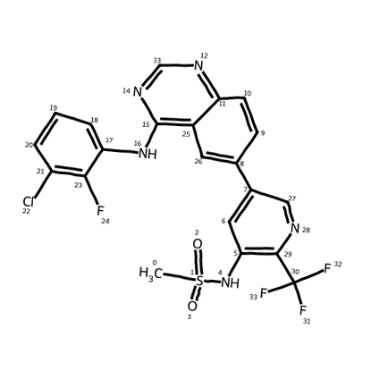 CS(=O)(=O)Nc1cc(-c2ccc3ncnc(Nc4cccc(Cl)c4F)c3c2)cnc1C(F)(F)F